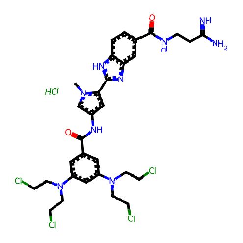 Cl.Cn1cc(NC(=O)c2cc(N(CCCl)CCCl)cc(N(CCCl)CCCl)c2)cc1-c1nc2cc(C(=O)NCCC(=N)N)ccc2[nH]1